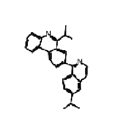 CC(C)c1ccc2c(-c3ccc4c(c3)c(C(C)C)nc3ccccc34)nccc2c1